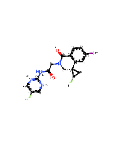 O=C(CN1C[C@@]2(C[C@H]2F)c2cc(I)ccc2C1=O)Nc1ncc(F)cn1